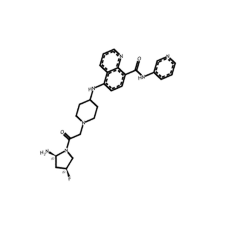 N[C@@H]1C[C@H](F)CN1C(=O)CN1CCC(Nc2ccc(C(=O)Nc3cccnc3)c3ncccc23)CC1